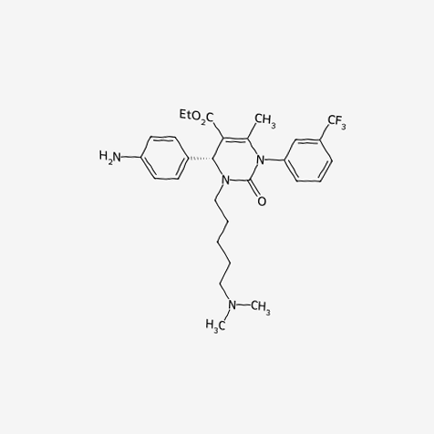 CCOC(=O)C1=C(C)N(c2cccc(C(F)(F)F)c2)C(=O)N(CCCCCN(C)C)[C@@H]1c1ccc(N)cc1